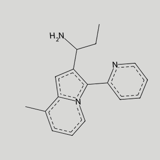 CCC(N)c1cc2c(C)cccn2c1-c1ccccn1